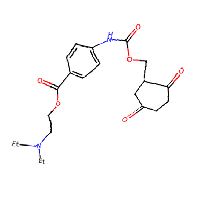 CCN(CC)CCOC(=O)c1ccc(NC(=O)OCC2CC(=O)CCC2=O)cc1